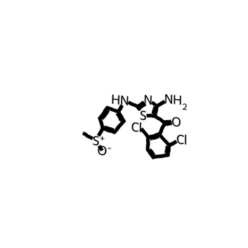 C[S+]([O-])c1ccc(Nc2nc(N)c(C(=O)c3c(Cl)cccc3Cl)s2)cc1